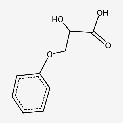 O=C(O)C(O)COc1ccccc1